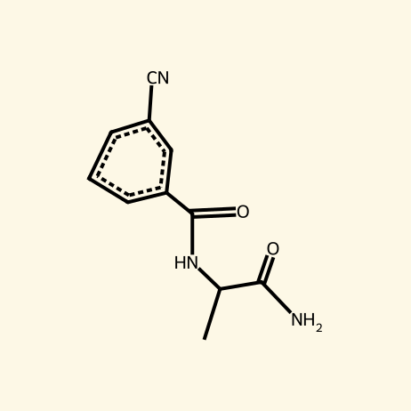 CC(NC(=O)c1cccc(C#N)c1)C(N)=O